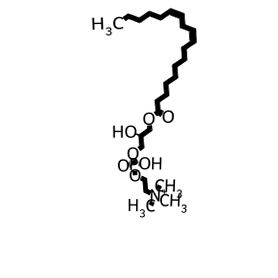 CCCCC/C=C\C/C=C\CCCCCCCC(=O)OC[C@@H](O)COP(=O)(O)OCC[N+](C)(C)C